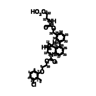 Cc1c(Cl)cccc1OCCOC(=O)N1C[C@@H]2C[C@@H]2c2c(-c3cccc(COC(=O)NCCC(=O)O)c3)cccc21